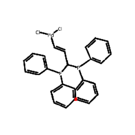 [Cl][Pd]([Cl])[CH]=CC(P(c1ccccc1)c1ccccc1)P(c1ccccc1)c1ccccc1